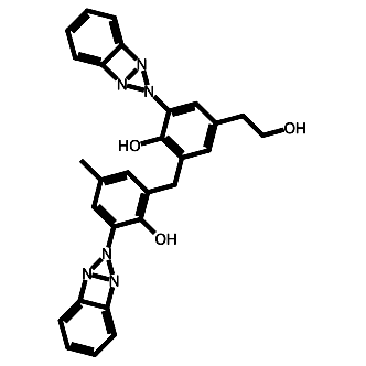 Cc1cc(Cc2cc(CCO)cc(-n3n4c5ccccc5n34)c2O)c(O)c(-n2n3c4ccccc4n23)c1